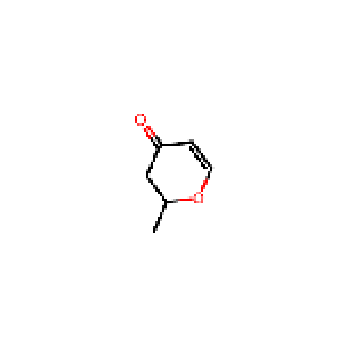 CC1CC(=O)C=CO1